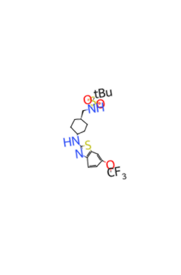 CC(C)(C)S(=O)(=O)NC[C@H]1CC[C@H](Nc2nc3ccc(OC(F)(F)F)cc3s2)CC1